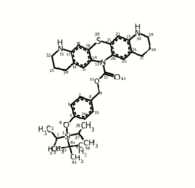 CC(C)[Si](Oc1ccc(COC(=O)N2c3cc4c(cc3Sc3cc5c(cc32)CCCN5)NCCC4)cc1)(C(C)C)C(C)(C)C